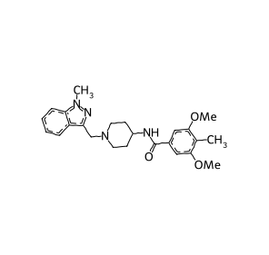 COc1cc(C(=O)NC2CCN(Cc3nn(C)c4ccccc34)CC2)cc(OC)c1C